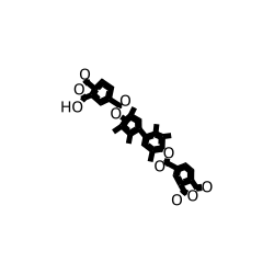 Cc1cc(-c2cc(C)c(OC(=O)c3ccc4c(c3)C(O)OC4=O)c(C)c2C)c(C)c(C)c1OC(=O)c1ccc2c(c1)C(=O)OC2=O